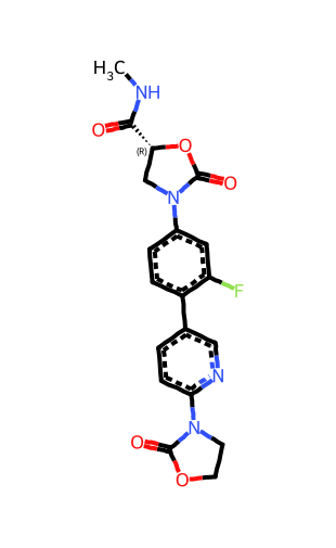 CNC(=O)[C@H]1CN(c2ccc(-c3ccc(N4CCOC4=O)nc3)c(F)c2)C(=O)O1